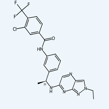 CCn1cc2ncc(N[C@@H](C)c3cccc(NC(=O)c4ccc(C(F)(F)F)c(Cl)c4)c3)nc2n1